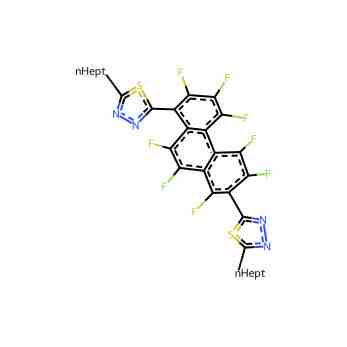 CCCCCCCc1nnc(-c2c(F)c(F)c3c(c2F)c(F)c(F)c2c(-c4nnc(CCCCCCC)s4)c(F)c(F)c(F)c23)s1